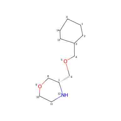 C1CCC(COC[C@H]2COCCN2)CC1